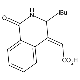 CCC(C)C1NC(=O)c2ccccc2C1=CC(=O)O